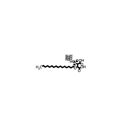 CCCCCCCCCCCCCCCCOC(C(=O)O)C(C(=O)O)S(=O)(=O)O.[NaH].[NaH].[NaH]